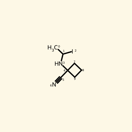 CC(I)NC1(C#N)CCC1